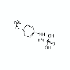 CCCCOc1ccc(NNP(=O)(O)O)cc1